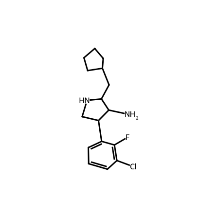 NC1C(CC2CCCC2)NCC1c1cccc(Cl)c1F